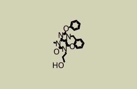 Cn1c(=O)n(CCCO)c(=O)c2c1nc(Oc1ccccc1)n2Cc1ccccc1